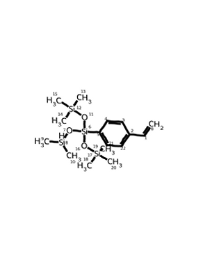 C=Cc1ccc([Si](O[SiH](C)C)(O[Si](C)(C)C)O[Si](C)(C)C)cc1